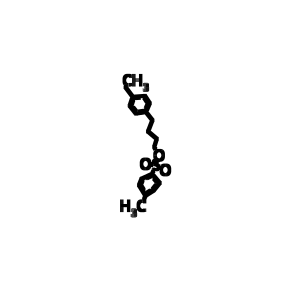 CCc1ccc(CCCCOS(=O)(=O)c2ccc(C)cc2)cc1